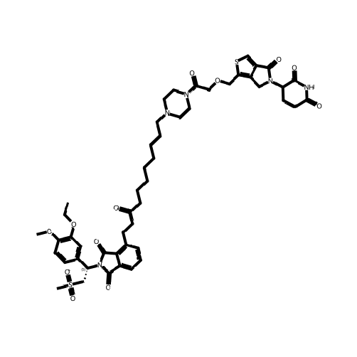 CCOc1cc([C@@H](CS(C)(=O)=O)N2C(=O)c3cccc(CCC(=O)CCCCCCCCN4CCN(C(=O)COCc5scc6c5CN(C5CCC(=O)NC5=O)C6=O)CC4)c3C2=O)ccc1OC